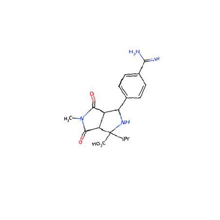 CC(C)C1(C(=O)O)NC(c2ccc(C(=N)N)cc2)C2C(=O)N(C)C(=O)C21